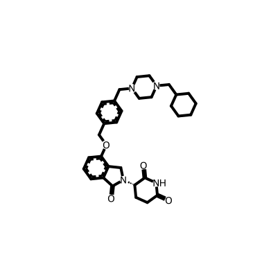 O=C1CC[C@H](N2Cc3c(OCc4ccc(CN5CCN(CC6CCCCC6)CC5)cc4)cccc3C2=O)C(=O)N1